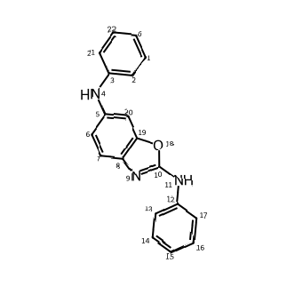 c1ccc(Nc2ccc3nc(Nc4ccccc4)oc3c2)cc1